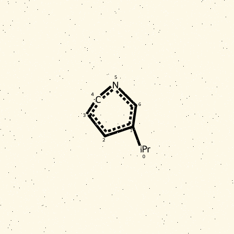 CC(C)c1cc[c]nc1